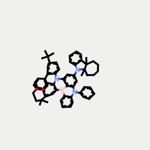 CC1CCC(C)(C)c2cc3c(cc21)N(c1ccc(C(C)(C)C)cc1C1=CC=C=C=C1)c1cc(N2c4ccccc4C4(C)CCCCCC24C)cc2c1B3c1ccccc1N2c1ccccc1